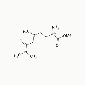 COC(=O)[C@@H](N)CCN(C)CC(=O)N(C)C